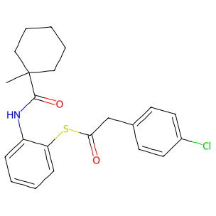 CC1(C(=O)Nc2ccccc2SC(=O)Cc2ccc(Cl)cc2)CCCCC1